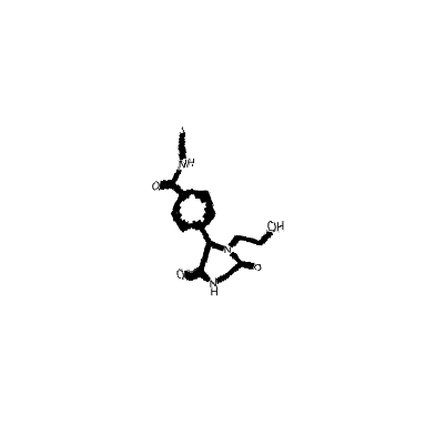 O=C(NCI)c1ccc(C2C(=O)NCC(=O)N2CCO)cc1